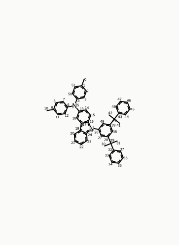 Cc1ccc(N(c2ccc(C)cc2)c2ccc3c(c2)c2ccccc2n3-c2cc(C(C)(C)c3ccccc3)cc(C(C)(C)c3ccccc3)c2)cc1